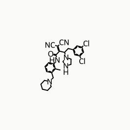 Cc1c(CN2CCCCC2)cccc1NC(=O)C(=C(C#N)C#N)C(Cc1cc(Cl)cc(Cl)c1)N1CCNC1